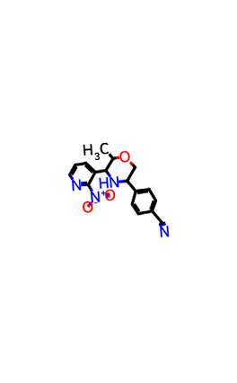 CC1OCC(c2ccc(C#N)cc2)NC1c1cccnc1[N+](=O)[O-]